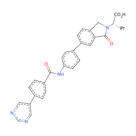 CC(C)[C@@H](C(=O)O)N1Cc2ccc(-c3ccc(NC(=O)c4ccc(-c5cncnc5)cc4)cc3)cc2C1=O